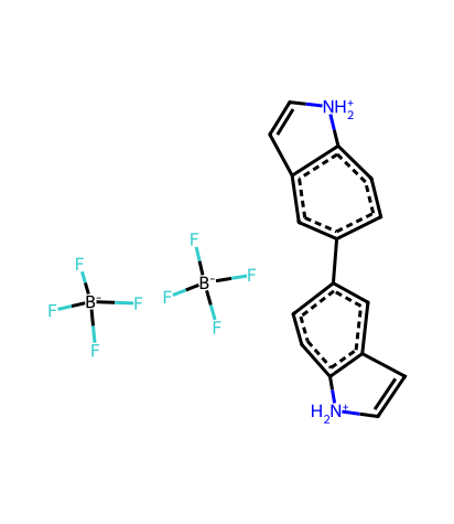 C1=Cc2cc(-c3ccc4c(c3)C=C[NH2+]4)ccc2[NH2+]1.F[B-](F)(F)F.F[B-](F)(F)F